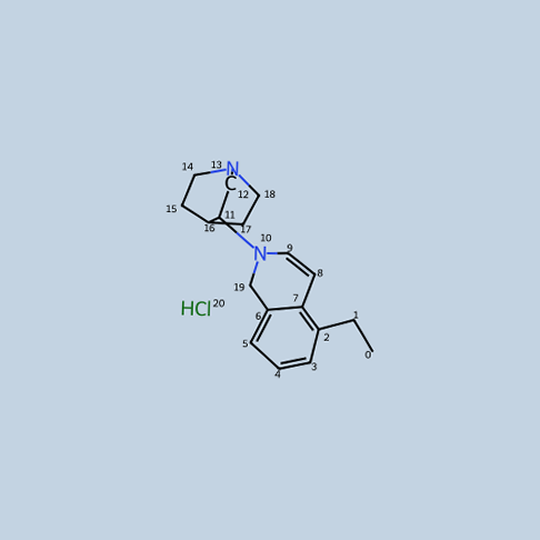 CCc1cccc2c1C=CN(C1CN3CCC1CC3)C2.Cl